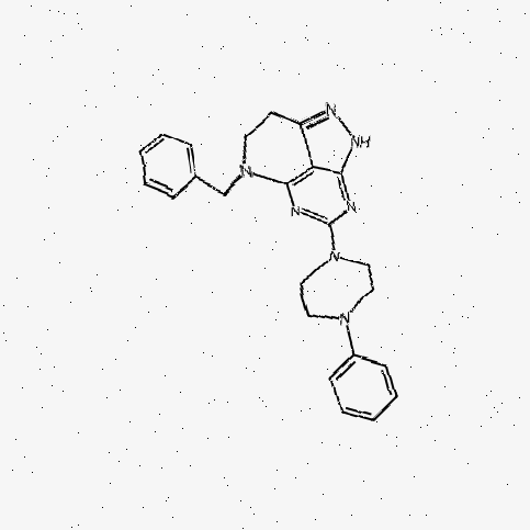 c1ccc(CN2CCc3n[nH]c4nc(N5CCN(c6ccccc6)CC5)nc2c34)cc1